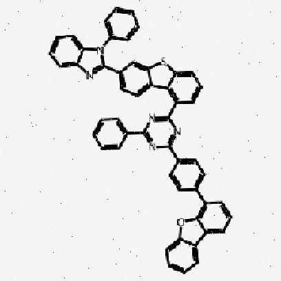 c1ccc(-c2nc(-c3ccc(-c4cccc5c4oc4ccccc45)cc3)nc(-c3cccc4sc5cc(-c6nc7ccccc7n6-c6ccccc6)ccc5c34)n2)cc1